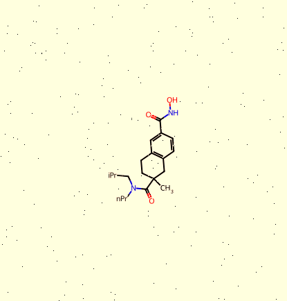 CCCN(CC(C)C)C(=O)C1(C)CCc2cc(C(=O)NO)ccc2C1